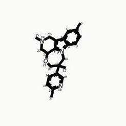 Cc1ccc2c(c1)c1c3n2CC(C)(c2ccc(C)nc2)COC3CN(C)C1